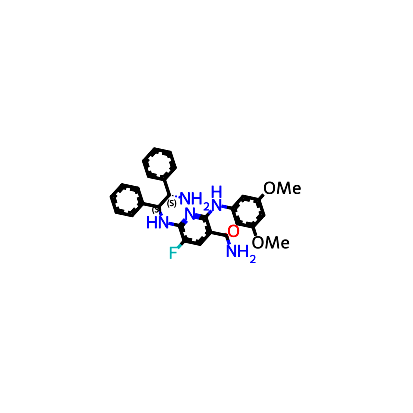 COc1cc(Nc2nc(N[C@@H](c3ccccc3)[C@@H](N)c3ccccc3)c(F)cc2C(N)=O)cc(OC)c1